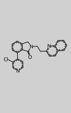 O=C1c2c(cccc2-c2ccncc2Cl)CN1CCc1ccc2ccccc2n1